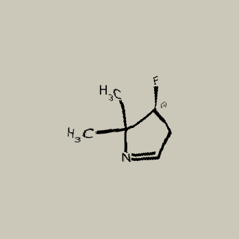 CC1(C)N=CC[C@@H]1F